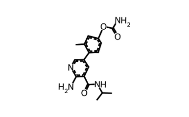 Cc1cc(OC(N)=O)ccc1-c1cnc(N)c(C(=O)NC(C)C)c1